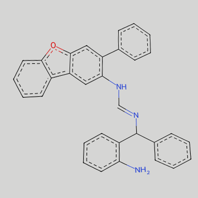 Nc1ccccc1C(/N=C/Nc1cc2c(cc1-c1ccccc1)oc1ccccc12)c1ccccc1